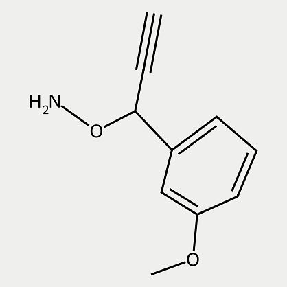 C#CC(ON)c1cccc(OC)c1